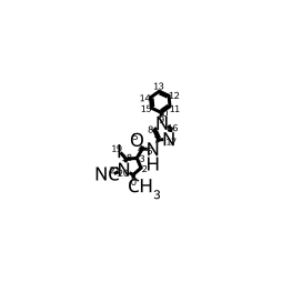 CC1CC(C(=O)Nc2cn(-c3ccccc3)cn2)C(I)N1C#N